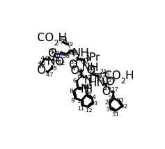 CC(C)[C@H](NC(=O)[C@H](Cc1ccc2ccccc2n1)NC(=O)[C@H](CC(=O)O)NC(=O)OCc1ccccc1)C(=O)N[C@H](/C=C/S(=O)(=O)N1CCOCC1)CCC(=O)O